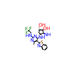 Cc1nc(NCC(F)(F)F)nc(N[C@@H]2C[C@H](CO)[C@@H](O)C2=N)c1-c1nc2ccccc2s1